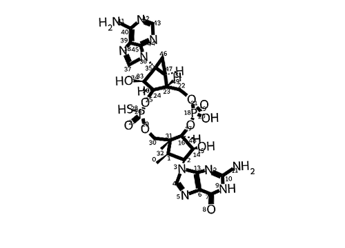 C[C@@H]1[C@@H](n2cnc3c(=O)[nH]c(N)nc32)[C@H](O)[C@@H]2OP(=O)(O)OC[C@@H]3[C@@H](O[P@@](=O)(S)OC[C@@]12C)[C@@H](O)[C@@]1(n2cnc4c(N)ncnc42)C[C@@H]31